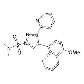 COc1ncc(-c2cn(S(=O)(=O)N(C)C)nc2-c2ccccn2)c2ccccc12